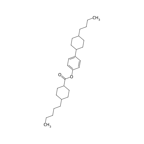 CCCCCC1CCC(C(=O)Oc2ccc(C3CCC(CCCC)CC3)cc2)CC1